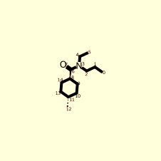 CCCN(CC)C(=O)[C@H]1CC[C@H](C)CC1